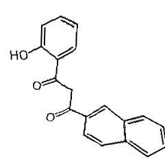 O=C(CC(=O)c1ccccc1O)c1ccc2ccccc2c1